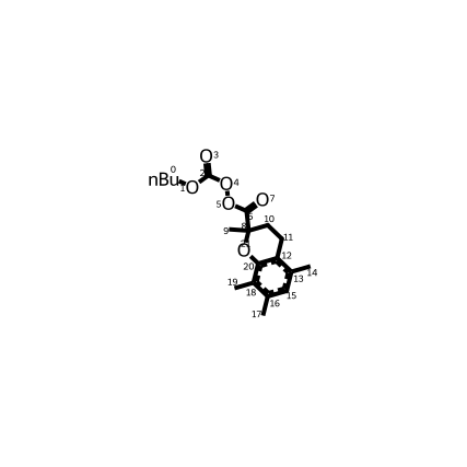 CCCCOC(=O)OOC(=O)C1(C)CCc2c(C)cc(C)c(C)c2O1